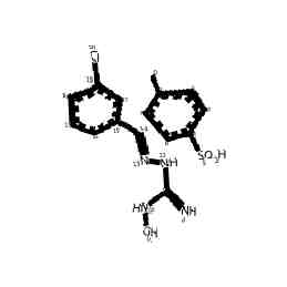 Cc1ccc(S(=O)(=O)O)cc1.N=C(NO)NN=Cc1cccc(Cl)c1